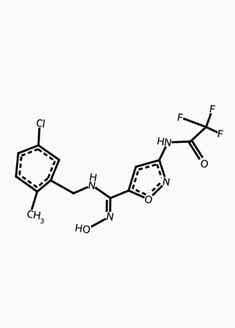 Cc1ccc(Cl)cc1CNC(=NO)c1cc(NC(=O)C(F)(F)F)no1